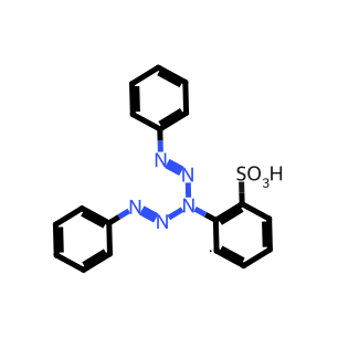 O=S(=O)(O)c1ccc[c]c1N(N=Nc1ccccc1)N=Nc1ccccc1